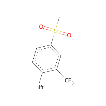 CC(C)c1ccc(S(C)(=O)=O)cc1C(F)(F)F